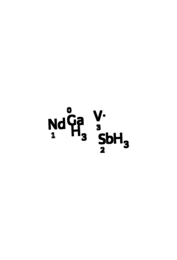 [GaH3].[Nd].[SbH3].[V]